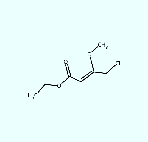 CCOC(=O)C=C(CCl)OC